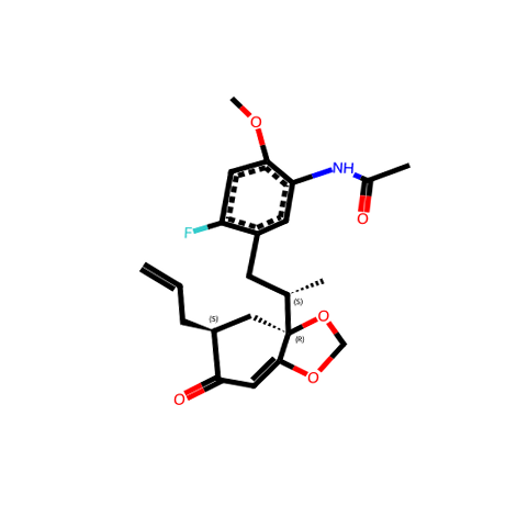 C=CC[C@H]1C[C@]2([C@@H](C)Cc3cc(NC(C)=O)c(OC)cc3F)OCOC2=CC1=O